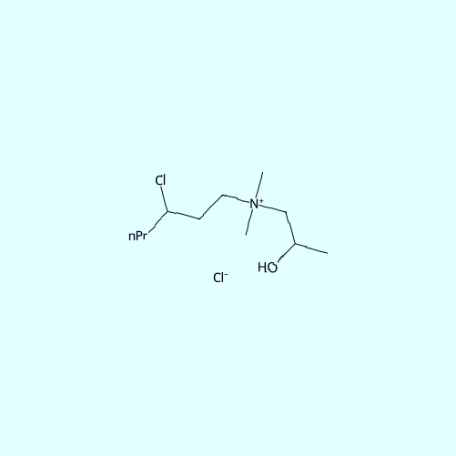 CCCC(Cl)CC[N+](C)(C)CC(C)O.[Cl-]